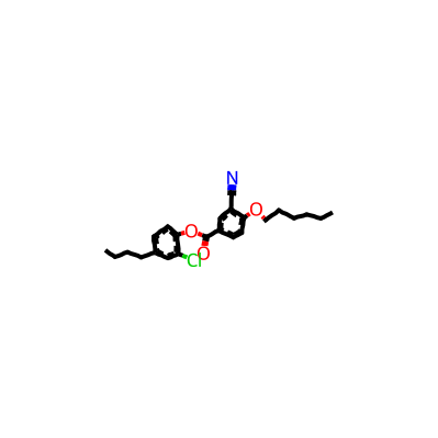 CCCCCCOc1ccc(C(=O)Oc2ccc(CCCC)cc2Cl)cc1C#N